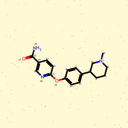 CN1CCCC(c2ccc(Oc3ccc(C(N)=O)cn3)cc2)C1